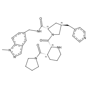 Cn1ncc2cc(CNC(=O)[C@@H]3C[C@@H](Cc4ccncc4)CN3C(=O)[C@@H]3NCCC[C@@H]3C(=O)N3CCCC3)ccc21